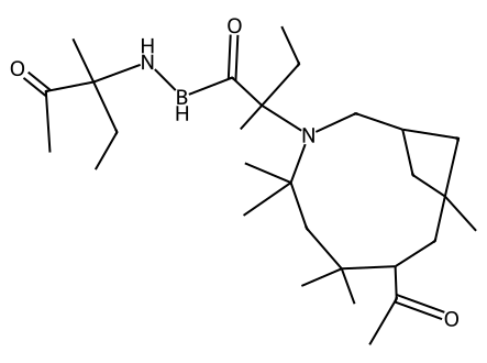 CCC(C)(NBC(=O)C(C)(CC)N1CC2CC(C)(C2)CC(C(C)=O)C(C)(C)CC1(C)C)C(C)=O